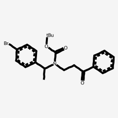 CC(c1ccc(Br)cc1)N(CCC(=O)c1ccccc1)C(=O)OC(C)(C)C